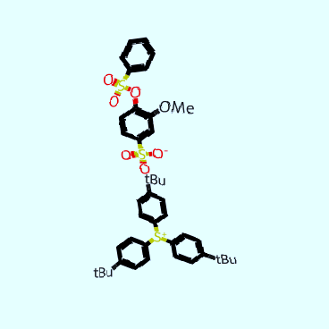 CC(C)(C)c1ccc([S+](c2ccc(C(C)(C)C)cc2)c2ccc(C(C)(C)C)cc2)cc1.COc1cc(S(=O)(=O)[O-])ccc1OS(=O)(=O)c1ccccc1